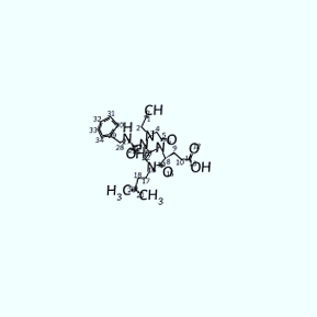 C#CCN1CC(=O)N2[C@@H](CCC(=O)O)C(=O)N(CCC(C)C)C[C@@H]2N1C(=O)NCc1ccccc1